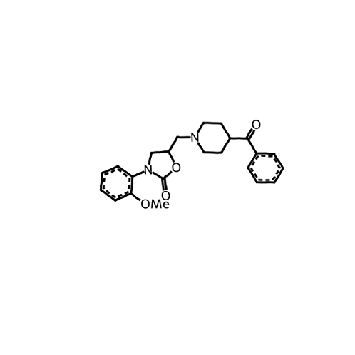 COc1ccccc1N1CC(CN2CCC(C(=O)c3ccccc3)CC2)OC1=O